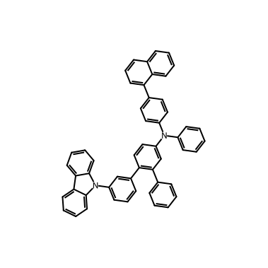 c1ccc(-c2cc(N(c3ccccc3)c3ccc(-c4cccc5ccccc45)cc3)ccc2-c2cccc(-n3c4ccccc4c4ccccc43)c2)cc1